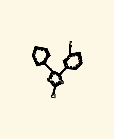 Fc1cccc(-c2oc(Cl)nc2-c2ccccc2)c1